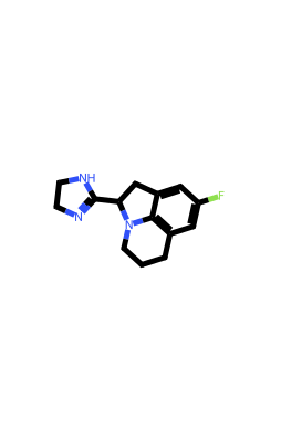 Fc1cc2c3c(c1)CC(C1=NCCN1)N3CCC2